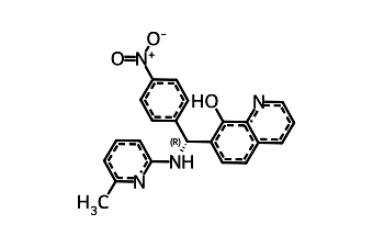 Cc1cccc(N[C@H](c2ccc([N+](=O)[O-])cc2)c2ccc3cccnc3c2O)n1